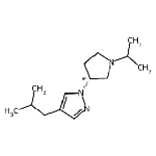 CC(C)Cc1cnn([C@@H]2CCN(C(C)C)C2)c1